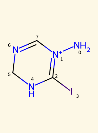 N[N+]1=C(I)NCN=C1